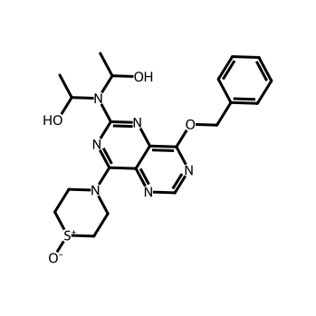 CC(O)N(c1nc(N2CC[S+]([O-])CC2)c2ncnc(OCc3ccccc3)c2n1)C(C)O